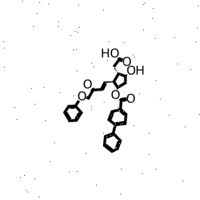 O=C(O)C[C@H]1[C@H](C=CC(=O)COc2ccccc2)[C@@H](OC(=O)c2ccc(-c3ccccc3)cc2)C[C@H]1O